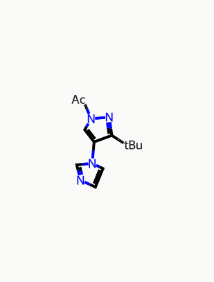 CC(=O)n1cc(-n2ccnc2)c(C(C)(C)C)n1